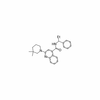 CCC(NC(=O)c1cc(N2CCCC(C)(C)C2)nc2ccccc12)c1ccccc1